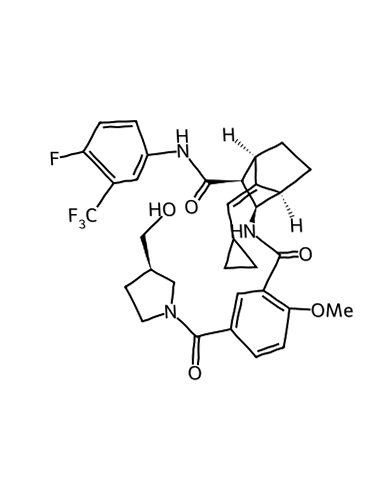 COc1ccc(C(=O)N2CC[C@@H](CO)C2)cc1C(=O)N[C@H]1[C@@H](C(=O)Nc2ccc(F)c(C(F)(F)F)c2)[C@H]2CC[C@@H]1/C2=C\C1CC1